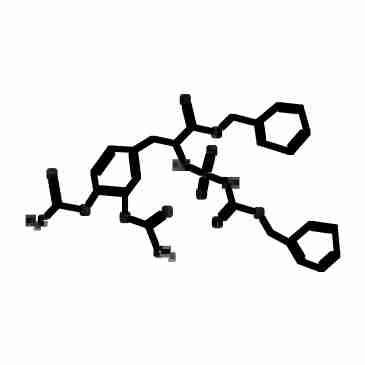 CC(=O)Oc1ccc(CC(NS(=O)(=O)NC(=O)OCc2ccccc2)C(=O)OCc2ccccc2)cc1OC(C)=O